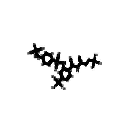 C=C(CCC(F)(F)F)NC(=O)c1ccc(C(F)(F)F)cc1NS(=O)(=O)c1ccc(NS(C)(=O)=O)cc1